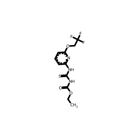 CCOC(=O)NC(=S)Nc1cccc(OCC(F)(F)F)n1